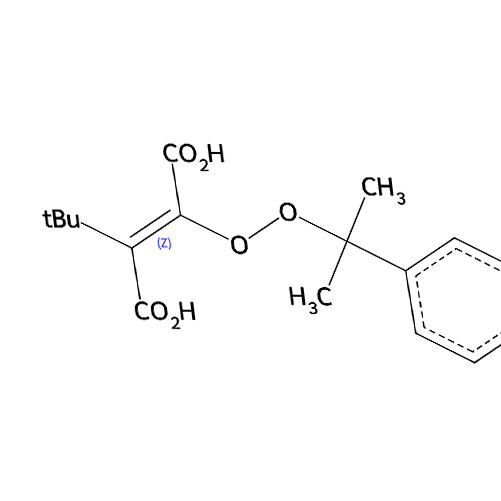 CC(C)(C)/C(C(=O)O)=C(/OOC(C)(C)c1ccccc1)C(=O)O